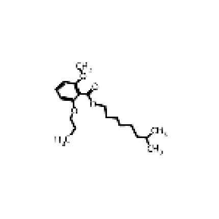 CCCOc1cccc(OC)c1C(=O)OCCCCCCC(C)C